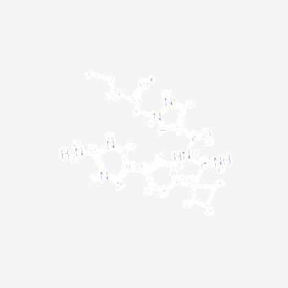 CCOC(=O)Cn1cc(C(=O)NC(=N)C2(c3ccc(-c4cnc(N)nc4)cc3)CCC2)cn1